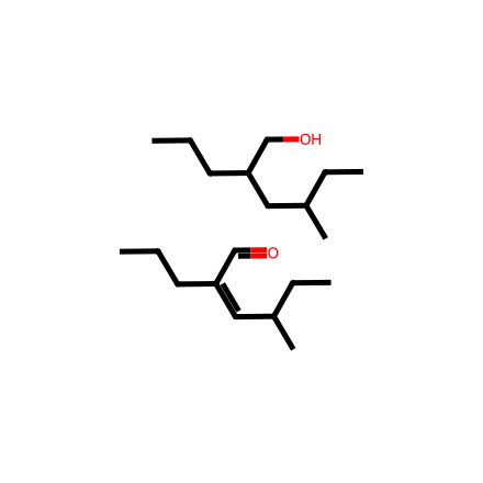 CCCC(C=O)=CC(C)CC.CCCC(CO)CC(C)CC